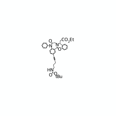 CCOC(=O)CC(c1ccccc1)N1CC(=O)N(c2ccccc2)c2ccc(C#CCCCNC(=O)OC(C)(C)C)cc2C1=O